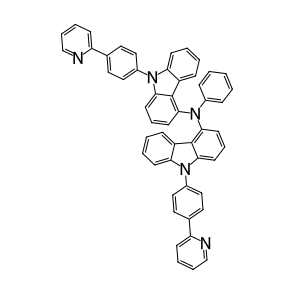 c1ccc(N(c2cccc3c2c2ccccc2n3-c2ccc(-c3ccccn3)cc2)c2cccc3c2c2ccccc2n3-c2ccc(-c3ccccn3)cc2)cc1